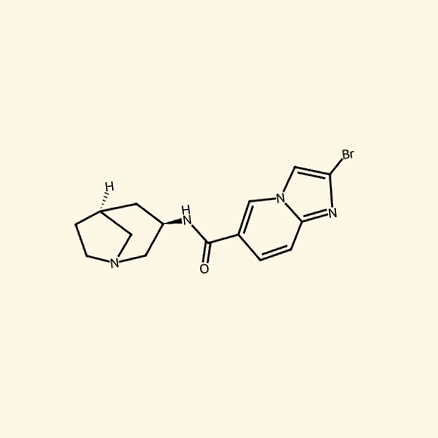 O=C(N[C@@H]1C[C@@H]2CCN(C2)C1)c1ccc2nc(Br)cn2c1